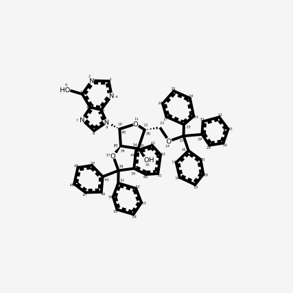 Oc1ncnc2c1ncn2[C@@H]1O[C@H](COC(c2ccccc2)(c2ccccc2)c2ccccc2)[C@@H](O)[C@H]1OC(c1ccccc1)(c1ccccc1)c1ccccc1